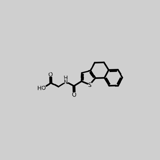 O=C(O)CNC(=O)c1cc2c(s1)-c1ccccc1CC2